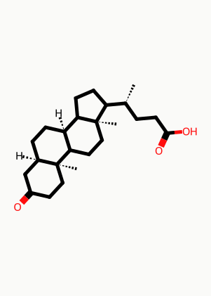 C[C@H](CCC(=O)O)C1CCC2[C@@H]3CC[C@@H]4CC(=O)CC[C@]4(C)C3CC[C@@]21C